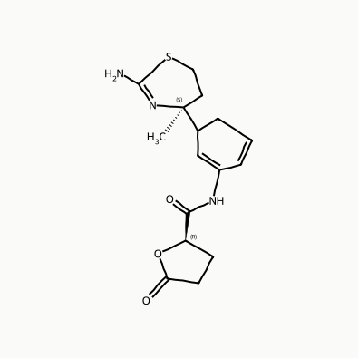 C[C@@]1(C2C=C(NC(=O)[C@H]3CCC(=O)O3)C=CC2)CCSC(N)=N1